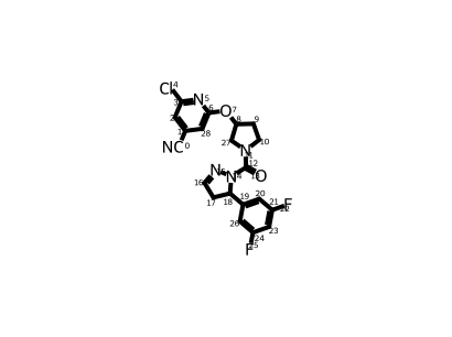 N#Cc1cc(Cl)nc(OC2CCN(C(=O)N3N=CCC3c3cc(F)cc(F)c3)C2)c1